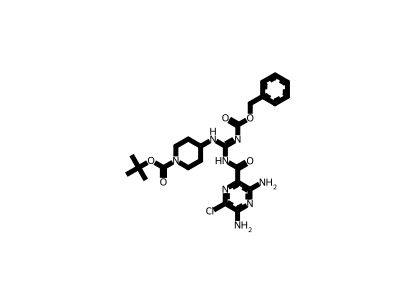 CC(C)(C)OC(=O)N1CCC(N/C(=N\C(=O)OCc2ccccc2)NC(=O)c2nc(Cl)c(N)nc2N)CC1